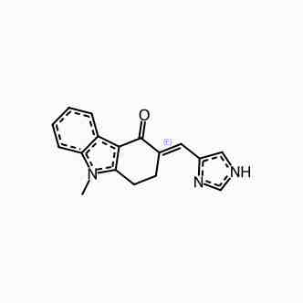 Cn1c2c(c3ccccc31)C(=O)/C(=C/c1c[nH]cn1)CC2